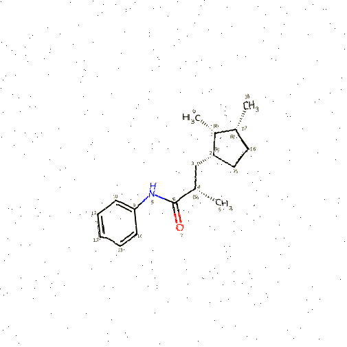 C[C@H]1[C@@H](C[C@H](C)C(=O)Nc2ccccc2)CC[C@H]1C